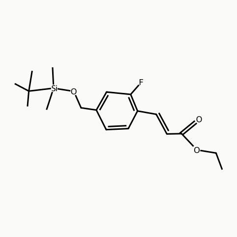 CCOC(=O)/C=C/c1ccc(CO[Si](C)(C)C(C)(C)C)cc1F